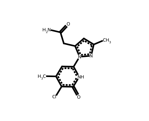 Cc1cc(CC(N)=O)n(-c2cc(C)c(Cl)c(=O)[nH]2)n1